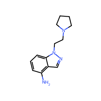 Nc1cccc2c1cnn2CCN1CCCC1